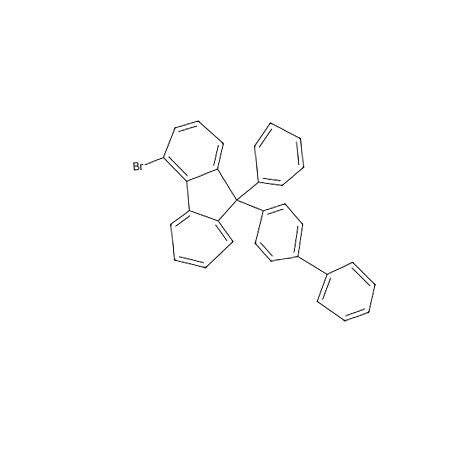 Brc1cccc2c1-c1ccccc1C2(c1ccccc1)c1ccc(-c2ccccc2)cc1